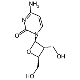 Nc1ccn([C@@H]2O[C@H](CO)[C@H]2CO)c(=O)n1